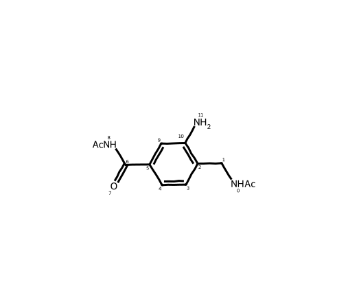 CC(=O)NCc1ccc(C(=O)NC(C)=O)cc1N